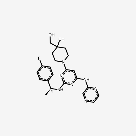 C[C@H](Nc1nc(Nc2cnccn2)cc(N2CCC(O)(CO)CC2)n1)c1ccc(F)cc1